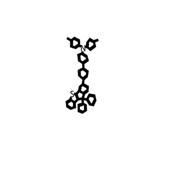 Cc1ccc(N(c2ccc(C)cc2)c2ccc(-c3ccc(-c4ccc5c(c4)-c4sc6ccccc6c4C5(c4ccccc4)c4ccccc4)cc3)cc2)cc1